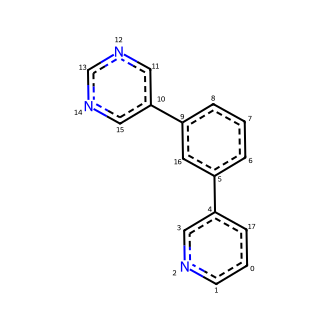 c1cncc(-c2cccc(-c3cncnc3)c2)c1